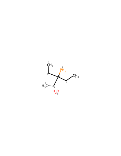 CCC(P)(CC)CC.O